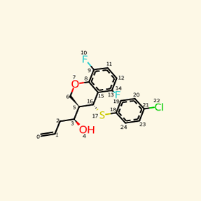 C=CC[C@H](O)[C@H]1COc2c(F)ccc(F)c2[C@@H]1Sc1ccc(Cl)cc1